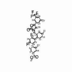 COC(=O)c1ccc(-c2cc(-c3ccc(C)cc3CN3C(=O)O[C@H](c4cc(C)cc(C(F)(F)F)c4)[C@@H]3C)c(F)cc2F)c(C)c1